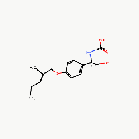 CCCC(C)COc1ccc([C@H](CO)NC(=O)O)cc1